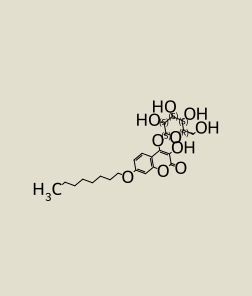 CCCCCCCCOc1ccc2c(O[C@@H]3O[C@H](CO)[C@@H](O)[C@H](O)[C@@H]3O)c(O)c(=O)oc2c1